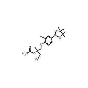 Cc1cc(B2OC(C)(C)C(C)(C)O2)ccc1OC[C@](C)(CC(C)C)OC(N)=O